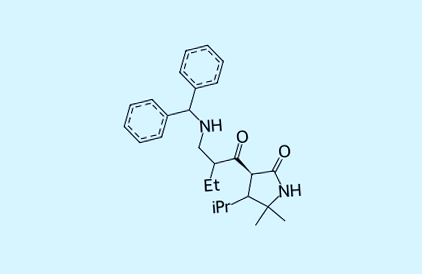 CCC(CNC(c1ccccc1)c1ccccc1)C(=O)[C@H]1C(=O)NC(C)(C)C1C(C)C